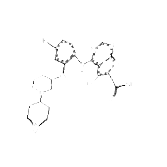 Cc1c(C(N)=O)sc2ncnc(Nc3ccc(F)cc3O[C@@H]3CCCN(C4CCOCC4)C3)c12